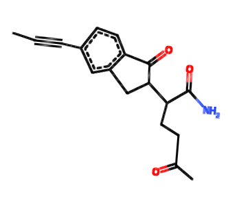 CC#Cc1ccc2c(c1)CC(C(CCC(C)=O)C(N)=O)C2=O